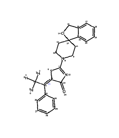 [2H]C([2H])([2H])/C(=C1\SC(N2CCC3(CC2)OCc2ccccc23)=NC1=O)c1ccccc1